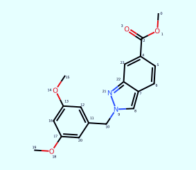 COC(=O)c1ccc2cn(Cc3cc(OC)cc(OC)c3)nc2c1